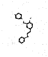 COc1ccc(C=CC(=O)c2ccc(O)cc2)cc1COc1ccc(F)cc1